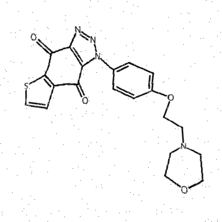 O=C1c2nnn(-c3ccc(OCCN4CCOCC4)cc3)c2C(=O)c2ccsc21